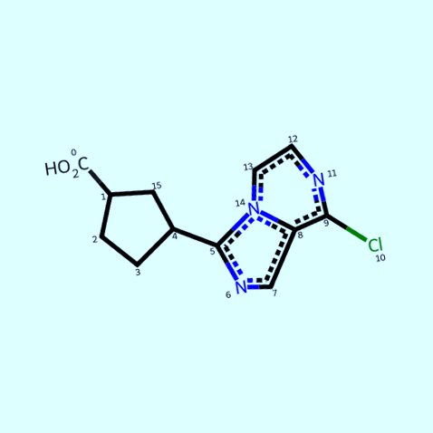 O=C(O)C1CCC(c2ncc3c(Cl)nccn23)C1